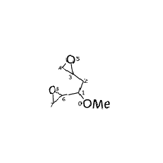 COC(CC1CO1)C1CO1